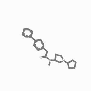 CN(C(=O)Cc1ccc(-c2ccccc2)cc1)C1CCN(C2CCCC2)C1